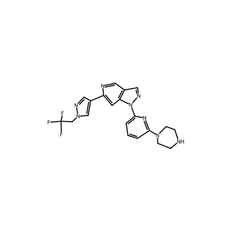 FC(F)(F)Cn1cc(-c2cc3c(cn2)cnn3-c2cccc(N3CCNCC3)n2)cn1